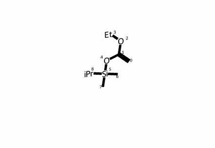 C=C(OCC)O[Si](C)(C)C(C)C